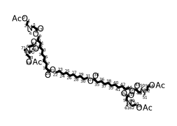 CC(=O)OCCN(C)CC(=O)OCC(CCCCCCCCC(=O)OCCCCCCCCCCOC(=O)CCCCCCCCC(COC(=O)C[N+](C)(C)CCOC(C)=O)OC(=O)C[N+](C)(C)CCOC(C)=O)OC(=O)C[N+](C)(C)CCOC(C)=O